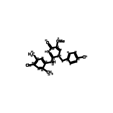 COc1cn(Cc2ccc(Cl)cc2)c(Nc2cc(C)c(Cl)cc2C)nc1=O